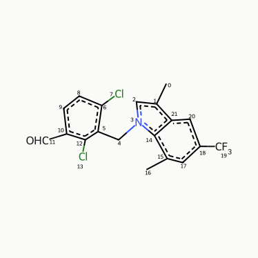 Cc1cn(Cc2c(Cl)ccc(C=O)c2Cl)c2c(C)cc(C(F)(F)F)cc12